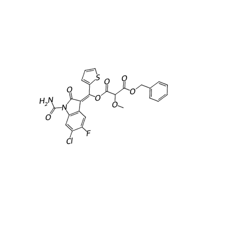 COC(C(=O)OCc1ccccc1)C(=O)OC(=C1C(=O)N(C(N)=O)c2cc(Cl)c(F)cc21)c1cccs1